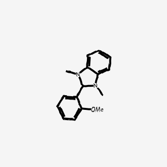 COc1ccccc1C1N(C)c2ccccc2N1C